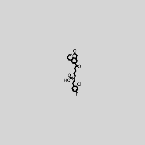 O=C(CCCCN(CCc1ccc(F)cc1Cl)C(=O)O)c1cc2c3c(c1)CC(=O)N3CCC2